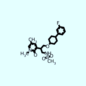 Cc1cc(C(CNS(C)(=O)=O)COC2CCC(c3cccc(F)c3)CC2)c(=O)n(C)c1